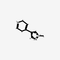 Cn1cc(C2=CCN=CC2)cn1